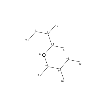 CCC(C)C(C)OC(C)C(C)CC